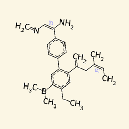 C=N/C=C(/N)c1ccc(-c2cc(B(C)C)c(CC)cc2C(=C)C/C(C)=C\C)cc1